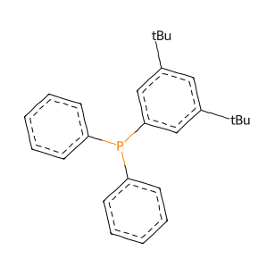 CC(C)(C)c1cc(P(c2ccccc2)c2ccccc2)cc(C(C)(C)C)c1